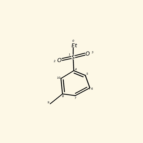 CCS(=O)(=O)c1c[c]cc(C)c1